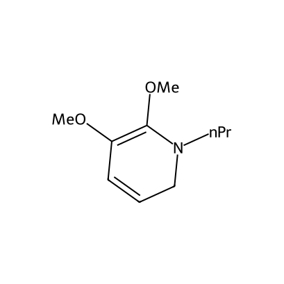 CCCN1CC=CC(OC)=C1OC